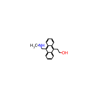 CNCc1c2ccccc2c(CCO)c2ccccc12